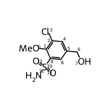 COc1c(Cl)cc(CO)cc1S(N)(=O)=O